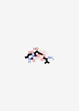 BC(B)(OC(=O)[C@@H](N)C(C)C)[C@@]1(F)O[C@@](B)(N2C=CC(=C)NC2=O)[C@H](O)[C@@H]1O